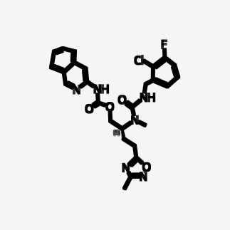 Cc1noc(CC[C@@H](COC(=O)Nc2cc3ccccc3cn2)N(C)C(=O)NCc2cccc(F)c2Cl)n1